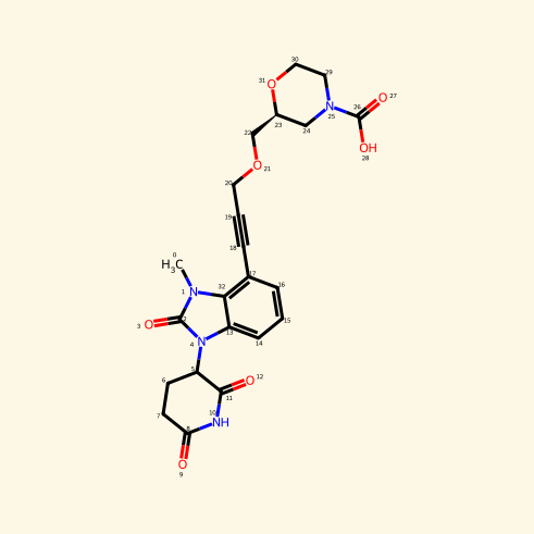 Cn1c(=O)n(C2CCC(=O)NC2=O)c2cccc(C#CCOC[C@@H]3CN(C(=O)O)CCO3)c21